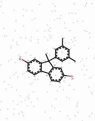 Cc1cc(C)cc(C2(C)c3cc(Br)ccc3-c3ccc(Br)cc32)c1